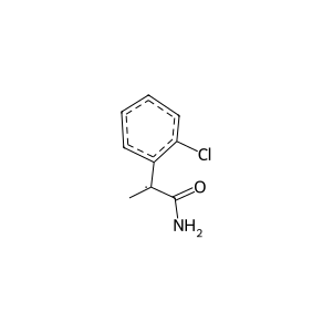 C[C](C(N)=O)c1ccccc1Cl